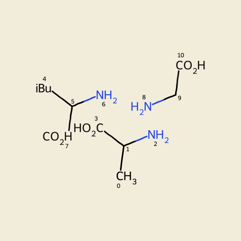 CC(N)C(=O)O.CCC(C)C(N)C(=O)O.NCC(=O)O